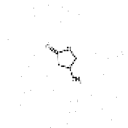 C[C]1COC(=O)C1